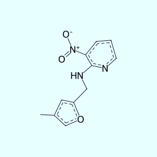 Cc1coc(CNc2ncccc2[N+](=O)[O-])c1